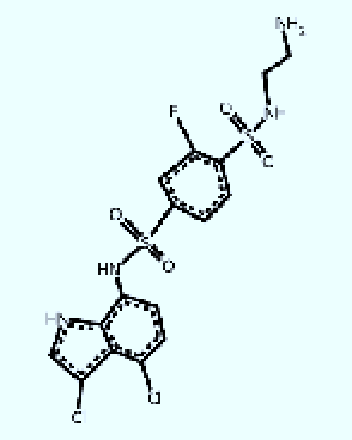 NCCNS(=O)(=O)c1ccc(S(=O)(=O)Nc2ccc(Cl)c3c(Cl)c[nH]c23)cc1F